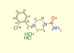 Cl.Cl.NC(=O)N1CCN(Cc2ccccc2Cl)CC1